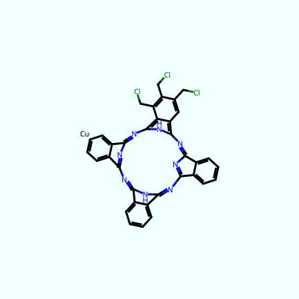 ClCc1cc2c3nc4nc(nc5[nH]c(nc6nc(nc([nH]3)c2c(CCl)c1CCl)-c1ccccc1-6)c1ccccc51)-c1ccccc1-4.[Cu]